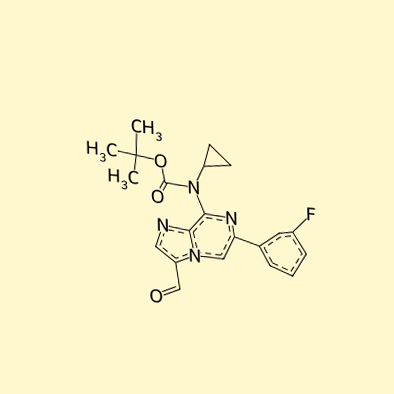 CC(C)(C)OC(=O)N(c1nc(-c2cccc(F)c2)cn2c(C=O)cnc12)C1CC1